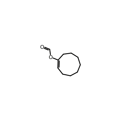 O=COC1=CCCCCCCC1